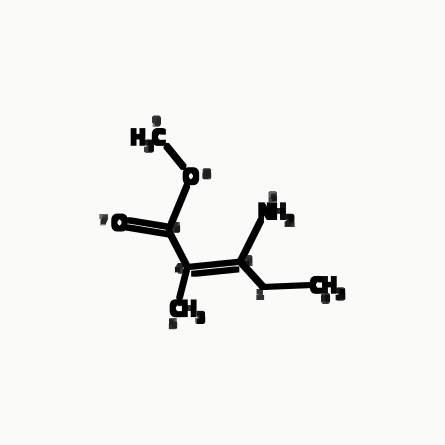 CC/C(N)=C(\C)C(=O)OC